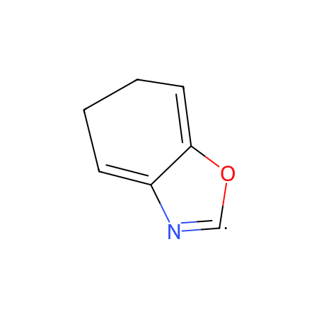 [c]1nc2c(o1)=CCCC=2